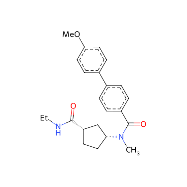 CCNC(=O)[C@H]1CC[C@@H](N(C)C(=O)c2ccc(-c3ccc(OC)cc3)cc2)C1